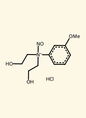 COc1cccc([N+](CCO)(CCO)N=O)c1.Cl